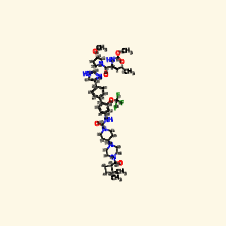 CCC[C@H](NC(=O)OC)C(=O)N1C[C@@H](OC)C[C@H]1c1nc(-c2ccc(-c3ccc(NC(=O)N4CCC(N5CCN(C(=O)C6CCC6(C)C)CC5)CC4)cc3OC(F)(F)F)cc2)c[nH]1